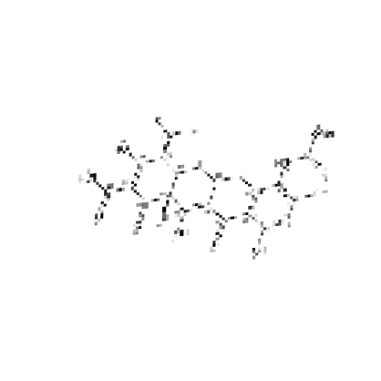 COC(=O)Nc1c(Cl)cc(O)c2c1CC1CC3[C@H](N(C)C)C(O)=C(C(N)=O)C(=O)[C@@]3(O)C(O)=C1C2=O